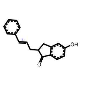 O=C1c2ccc(O)cc2CC1C/C=C/c1ccccc1